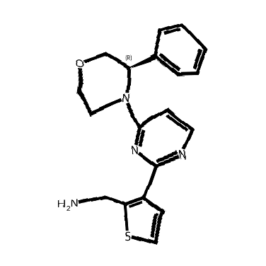 NCc1sccc1-c1nccc(N2CCOC[C@H]2c2ccccc2)n1